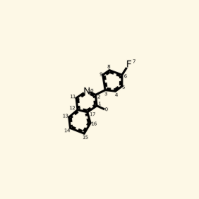 Cc1c(-c2ccc(F)cc2)ncc2ccccc12